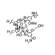 CCn1nc(C)cc1C(=O)Nc1nc2cc(C(N)=O)cc(OC)c2n1C/C=C/Cn1c(NC(O)c2cc(C)nn2CC)nc2cc(C(N)=O)cc(OCCCO)c21